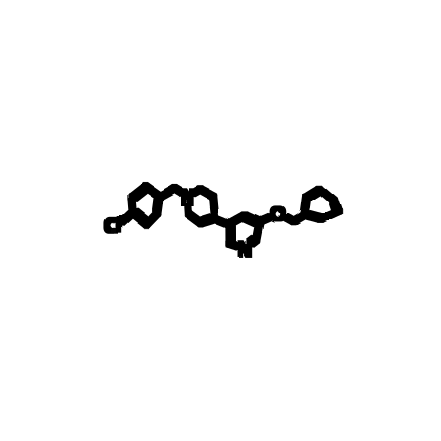 Clc1ccc(CN2CC=C(c3cncc(OCc4ccccc4)c3)CC2)cc1